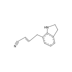 N#CC=CCc1cccc2c1NCC2